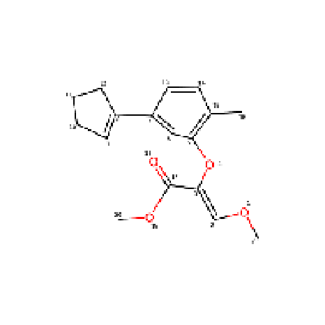 CO/C=C(\Oc1cc(C2=CCCC2)ccc1C)C(=O)OC